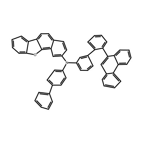 c1ccc(-c2ccc(N(c3cccc(-c4ccccc4-c4cc5ccccc5c5ccccc45)c3)c3ccc4ccc5c6ccccc6oc5c4c3)cc2)cc1